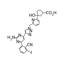 N#Cc1c(I)cccc1-c1cc(-c2cn(Cc3cccc(C4(O)CCC(C(=O)O)C4)n3)nn2)nc(N)n1